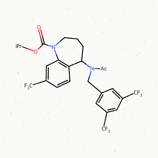 CC(=O)N(Cc1cc(C(F)(F)F)cc(C(F)(F)F)c1)C1CCCN(C(=O)OC(C)C)c2cc(C(F)(F)F)ccc21